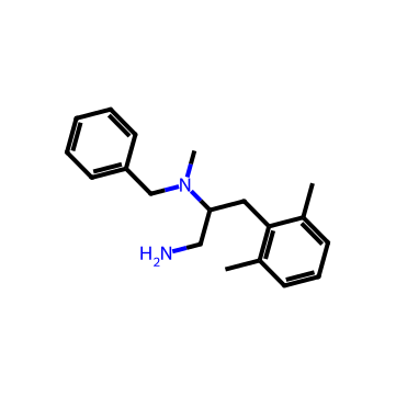 Cc1cccc(C)c1CC(CN)N(C)Cc1ccccc1